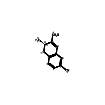 N#Cc1ccc2c(c1)C=C(C(=O)O)[C@@H](C(F)(F)F)O2